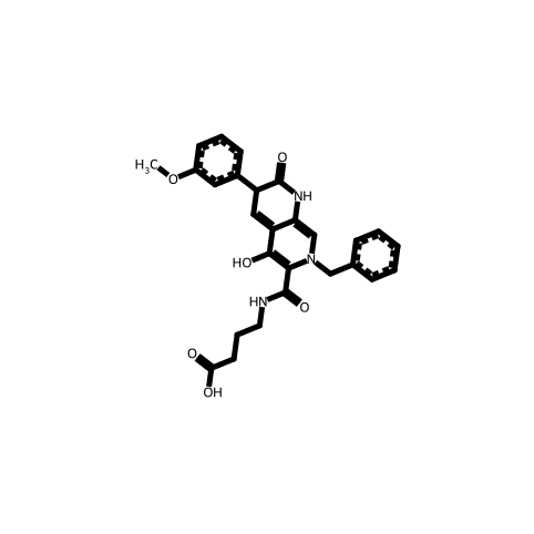 COc1cccc(C2C=C3C(=CN(Cc4ccccc4)C(C(=O)NCCCC(=O)O)=C3O)NC2=O)c1